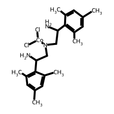 Cc1cc(C)c(C(N)C[N](CC(N)c2c(C)cc(C)cc2C)[Co]([Cl])[Cl])c(C)c1